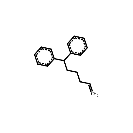 C=CCCCC(c1ccccc1)c1ccccc1